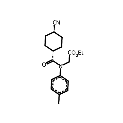 CCOC(=O)CN(c1ccc(C)cc1)C(=O)[C@H]1CC[C@H](C#N)CC1